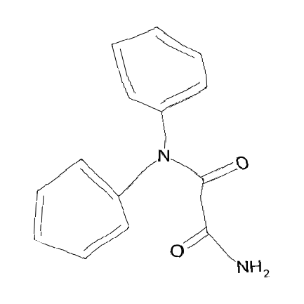 NC(=O)C(=O)N(c1ccccc1)c1ccccc1